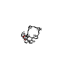 Cn1cc[n+](C)c1-c1c(-c2n(C)cc[n+]2C)c2c(-c3n(C)cc[n+]3C)c3nc(cc4ccc(cc5nc(cc1n2-c1n(C)cc[n+]1C)C=C5)[nH]4)C=C3